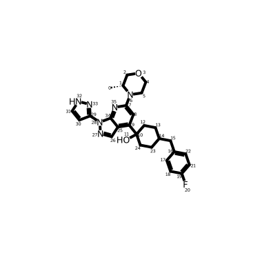 C[C@@H]1COCCN1c1cc(C2(O)CCC(Cc3ccc(F)cc3)CC2)c2cnn(-c3cc[nH]n3)c2n1